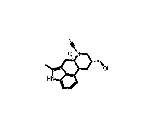 Cc1[nH]c2cccc3c2c1C[C@@H]1C3C[C@@H](CO)CN1C#N